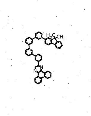 CC1(C)c2ccccc2-c2ccc(-c3cccc(-c4cccc(-c5cccc(-c6cccc(-c7cnc8c9ccccc9c9ccccc9c8n7)c6)c5)c4)c3)cc21